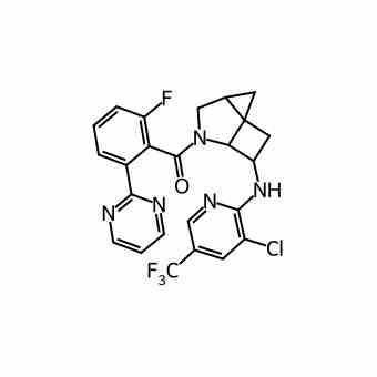 O=C(c1c(F)cccc1-c1ncccn1)N1CC2CC23CC(Nc2ncc(C(F)(F)F)cc2Cl)C13